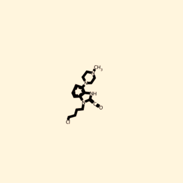 CN1CCN(c2cccc3c2NC(=C=O)N3CCCCCl)CC1